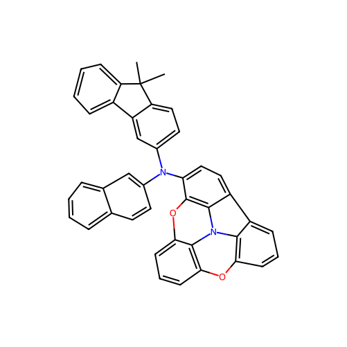 CC1(C)c2ccccc2-c2cc(N(c3ccc4ccccc4c3)c3ccc4c5cccc6c5n5c4c3Oc3cccc(c3-5)O6)ccc21